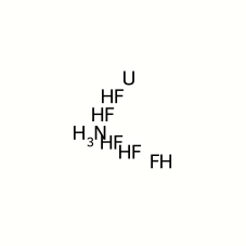 F.F.F.F.F.N.[U]